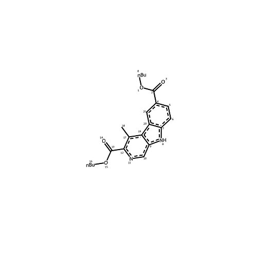 CCCCOC(=O)c1ccc2[nH]c3cnc(C(=O)OCCCC)c(C)c3c2c1